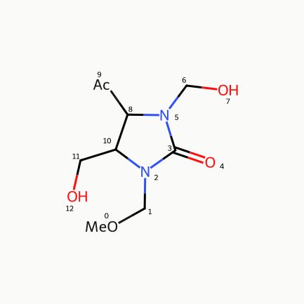 COCN1C(=O)N(CO)C(C(C)=O)C1CO